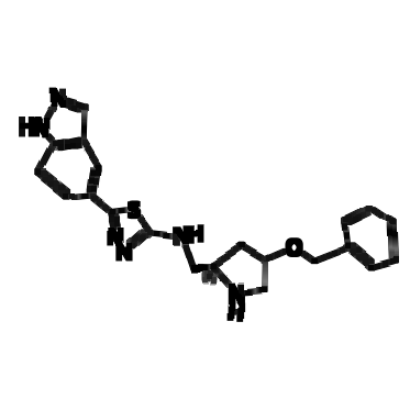 c1ccc(COC2CN[C@@H](CNc3nnc(-c4ccc5[nH]ncc5c4)s3)C2)cc1